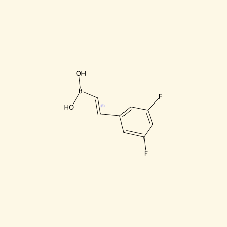 OB(O)/C=C/c1cc(F)cc(F)c1